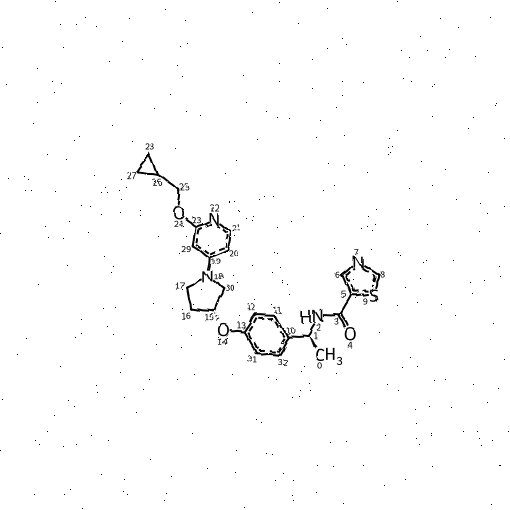 C[C@H](NC(=O)c1cncs1)c1ccc(O[C@@H]2CCN(c3ccnc(OCC4CC4)c3)C2)cc1